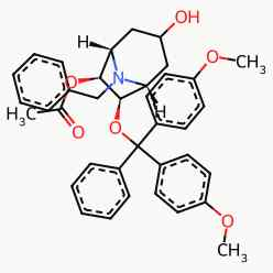 COc1ccc(C(O[C@H]2[C@@H](OC(C)=O)[C@@H]3CC(O)C[C@H]2N3Cc2ccccc2)(c2ccccc2)c2ccc(OC)cc2)cc1